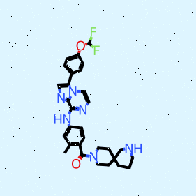 Cc1cc(Nc2nccn3c(-c4ccc(OC(F)F)cc4)cnc23)ccc1C(=O)N1CCC2(CCCNC2)CC1